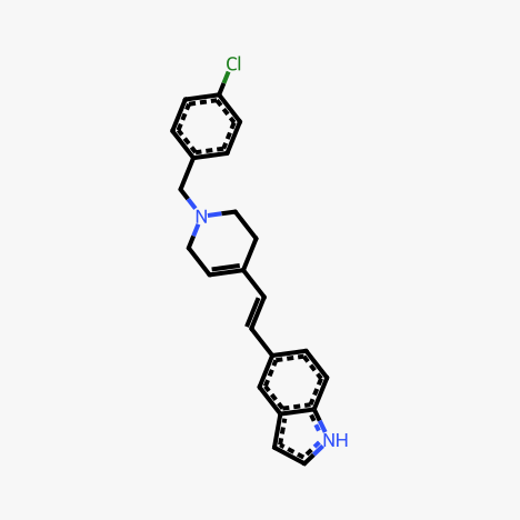 Clc1ccc(CN2CC=C(C=Cc3ccc4[nH]ccc4c3)CC2)cc1